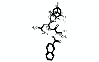 CC(C)C[C@H](NC(=O)[C@@H](NC(=O)c1ccc2ccccc2c1)[C@@H](C)O)B1O[C@@H]2C[C@@H]3C[C@@H](C3(C)C)[C@]2(C)O1